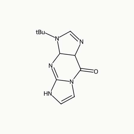 CC(C)(C)N1C=NC2C(=O)N3C=CNC3=NC21